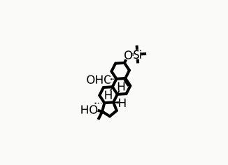 CC1(O)CC[C@H]2[C@@H]3CC=C4CC(O[Si](C)(C)C)CC[C@]4(C=O)[C@@H]3CC[C@@]21C